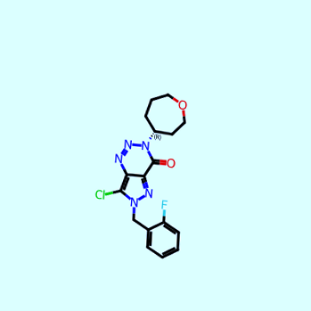 O=c1c2nn(Cc3ccccc3F)c(Cl)c2nnn1[C@@H]1CCCOCC1